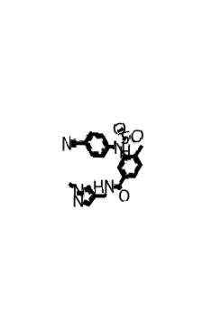 Cc1ccc(C(=O)NCc2cnn(C)c2)cc1N(c1ccc(C#N)cc1)[SH](=O)=O